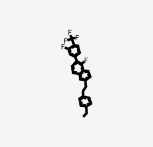 CCc1ccc(CCc2ccc3c(F)c(-c4ccc(C(F)(F)F)c(F)c4)ccc3c2)cc1